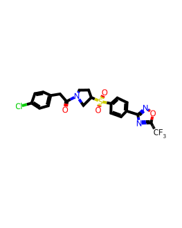 O=C(Cc1ccc(Cl)cc1)N1CCC(S(=O)(=O)c2ccc(-c3noc(C(F)(F)F)n3)cc2)C1